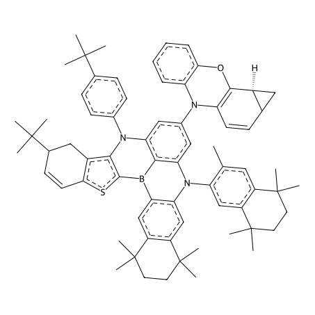 Cc1cc2c(cc1N1c3cc4c(cc3B3c5sc6c(c5N(c5ccc(C(C)(C)C)cc5)c5cc(N7C8=C(Oc9ccccc97)[C@H]7CC7C=C8)cc1c53)CC(C(C)(C)C)C=C6)C(C)(C)CCC4(C)C)C(C)(C)CCC2(C)C